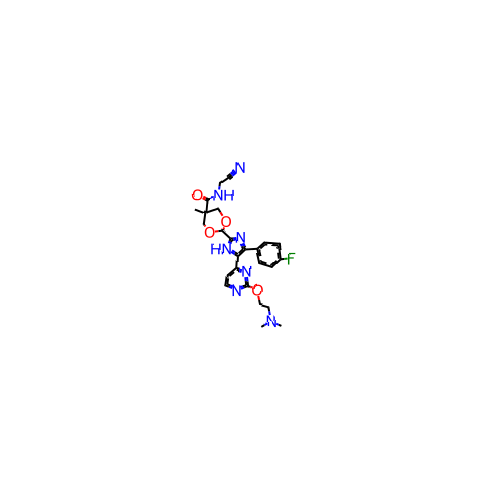 CN(C)CCOc1nccc(-c2[nH]c(C3OCC(C)(C(=O)NCC#N)CO3)nc2-c2ccc(F)cc2)n1